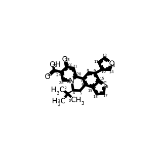 CC(C)(C)[C@@H]1Cc2c(cc(-c3ccoc3)c3sccc23)-c2cc(=O)c(C(=O)O)cn21